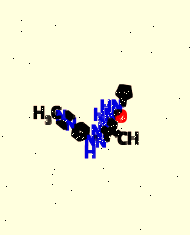 C#Cc1cc(NC(=O)NCC2CCCC2)nc2nc(Nc3ccc(N4CCN(C)CC4)cc3)ncc12